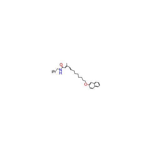 CC(C=CCCCCCCCOc1ccc2ccccc2c1)=CC(=O)NCC(C)C